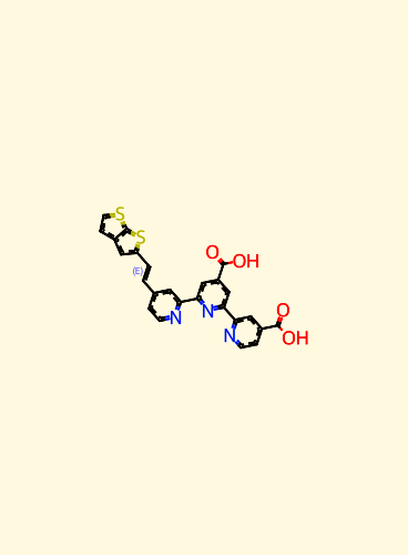 O=C(O)c1ccnc(-c2cc(C(=O)O)cc(-c3cc(/C=C/c4cc5ccsc5s4)ccn3)n2)c1